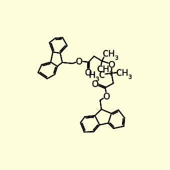 CC(C)(CC(=O)OCC1c2ccccc2-c2ccccc21)OC(C)(C)CC(=O)OCC1c2ccccc2-c2ccccc21